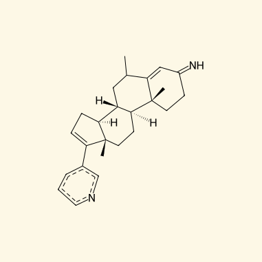 CC1C[C@@H]2[C@H](CC[C@]3(C)C(c4cccnc4)=CC[C@@H]23)[C@@]2(C)CCC(=N)C=C12